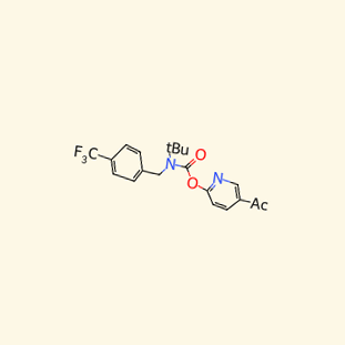 CC(=O)c1ccc(OC(=O)N(Cc2ccc(C(F)(F)F)cc2)C(C)(C)C)nc1